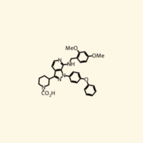 COc1ccc(CNc2nccc3c(C4CCCN(C(=O)O)C4)nn(-c4ccc(Oc5ccccc5)cc4)c23)c(OC)c1